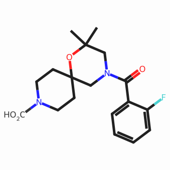 CC1(C)CN(C(=O)c2ccccc2F)CC2(CCN(C(=O)O)CC2)O1